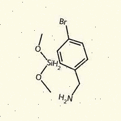 CO[SiH2]OC.NCc1ccc(Br)cc1